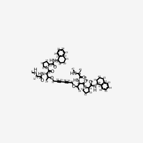 CN[C@@H](C)C(=O)N[C@H](C(=O)N1CCCC1C(=O)N[C@@H]1CCCc2ccccc21)C(C)OCC#CC#CCOC(C)[C@H](NC(=O)[C@H](C)NC)C(=O)N1CCCC1C(=O)N[C@@H]1CCCc2ccccc21